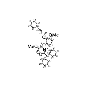 COC(=O)[C@@H]1Cc2c(ccc(OC)c2OCC#Cc2ccccc2)CN1C(=O)C(c1ccccc1)c1ccccc1